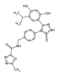 Cc1nnc(C(=O)NCc2ccc(-n3c(-c4cc(C(C)C)c(O)cc4O)n[nH]c3=O)cc2)o1